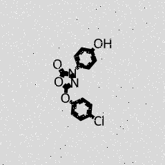 O=c1oc(Oc2ccc(Cl)cc2)nn1-c1ccc(O)cc1